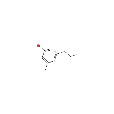 CCCc1cc(C)cc(Br)c1